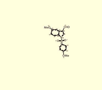 COc1ccc(S(=O)(=O)n2cc(C=O)c3cc(OC)ccc32)cc1